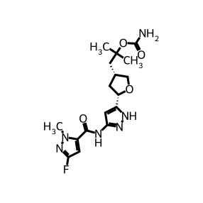 Cn1nc(F)cc1C(=O)Nc1cc([C@@H]2C[C@H](CC(C)(C)OC(N)=O)CO2)[nH]n1